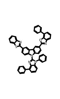 c1ccc(-c2cccc3c2nc(-n2c4ccc(-c5nc6cccc(-c7ccccc7)c6o5)cc4c4cc(-c5nc6ccccc6s5)ccc42)n3-c2ccccc2)cc1